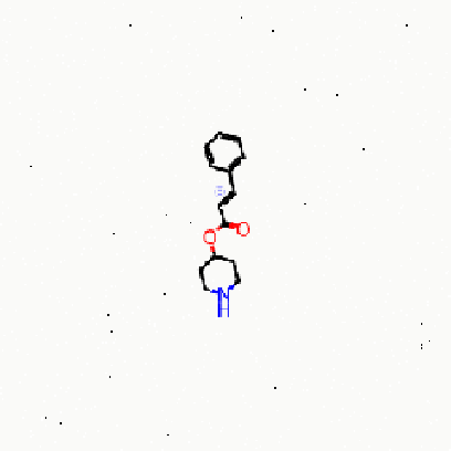 O=C(/C=C/c1ccccc1)OC1CCNCC1